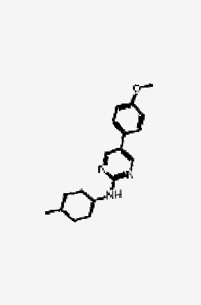 COc1ccc(-c2cnc(NC3CCC(C)CC3)nc2)cc1